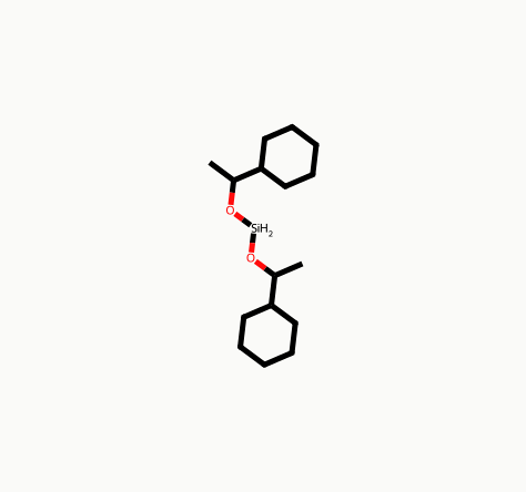 CC(O[SiH2]OC(C)C1CCCCC1)C1CCCCC1